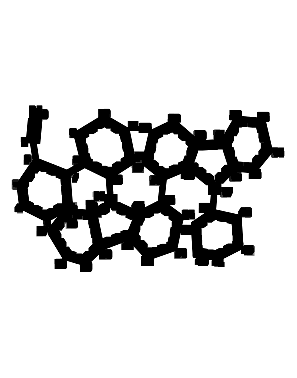 N#Cc1ccccc1-c1ccccc1-n1c2ccccc2c2cccc(-c3cccc4c5ccccc5n(-c5ccccc5)c34)c21